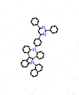 c1ccc(-c2cc(-c3ccc(N4c5ccccc5-c5c(n(-c6cccc7ccccc67)c6ccccc56)-c5ccccc54)cc3)nc(-c3ccccc3)n2)cc1